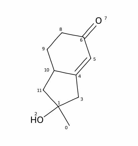 CC1(O)CC2=CC(=O)CCC2C1